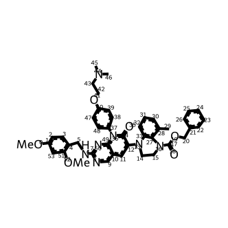 COc1ccc(CNc2ncc3cc(N4CCN(C(=O)OCc5ccccc5)c5c(C)cccc54)c(=O)n(-c4ccc(OCCN(C)C)cc4)c3n2)c(OC)c1